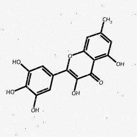 Cc1cc(O)c2c(=O)c(O)c(-c3cc(O)c(O)c(O)c3)oc2c1